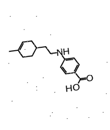 CC1=CCC(CCNc2ccc(C(=O)O)cc2)CC1